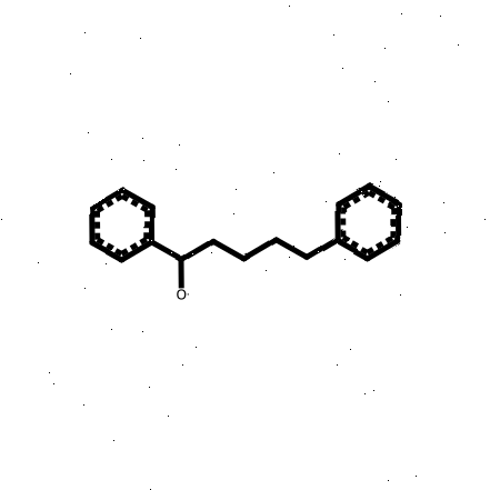 [O]C(CCCCc1ccccc1)c1ccccc1